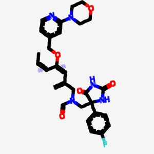 C=C(/C=C(\C=C/C)OCc1ccnc(N2CCOCC2)c1)CN(C=O)CC1(c2ccc(F)cc2)NC(=O)NC1=O